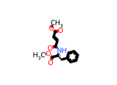 COC(=O)C=CC(=O)N[C@@H](Cc1ccccc1)C(=O)OC